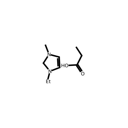 CCC(=O)O.CCN1C=CN(C)C1